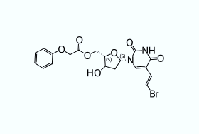 O=C(COc1ccccc1)OC[C@@H]1O[C@H](n2cc(C=CBr)c(=O)[nH]c2=O)CC1O